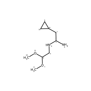 COC(CNC(N)CC1CC1)OC